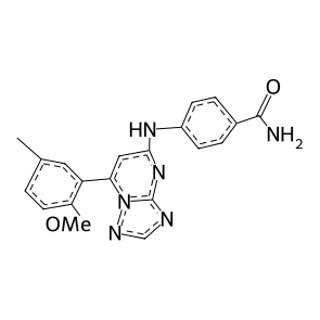 COc1ccc(C)cc1-c1cc(Nc2ccc(C(N)=O)cc2)nc2ncnn12